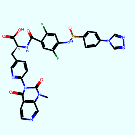 Cn1c(=O)n(-c2ccc(C[C@H](NC(=O)c3cc(F)c(N[S+]([O-])c4ccc(-n5cnnc5)cc4)cc3F)C(=O)O)cn2)c(=O)c2ccncc21